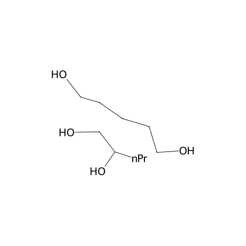 CCCC(O)CO.OCCCCCO